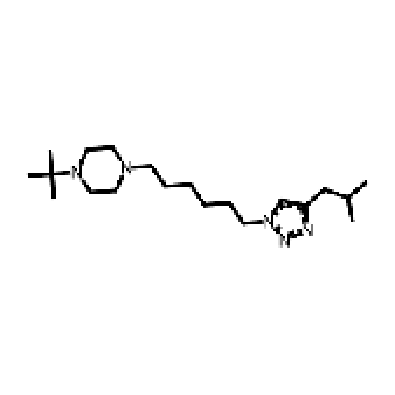 CC(C)Cc1cn(CCCCCCN2CCN(C(C)(C)C)CC2)nn1